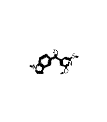 COc1cc(C(=O)c2ccc3c(ccn3C)c2)cc(SC)n1